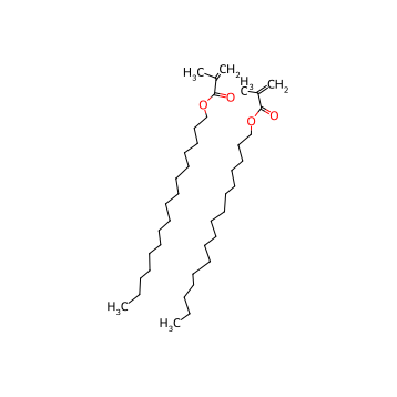 C=C(C)C(=O)OCCCCCCCCCCCCCCCC.C=C(C)C(=O)OCCCCCCCCCCCCCCCC